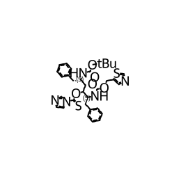 CC(C)(C)OC(=O)N[C@@H](Cc1ccccc1)CC(OC(=S)n1ccnc1)[C@H](Cc1ccccc1)NC(=O)OCc1cncs1